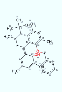 CC1=C/C(=C(\CC(C)CC(C)(C)C)c2cc(C)cc(C)c2OCc2ccccc2)C(O)C(C)=C1